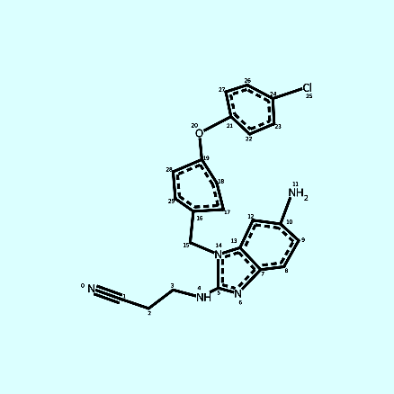 N#CCCNc1nc2ccc(N)cc2n1Cc1ccc(Oc2ccc(Cl)cc2)cc1